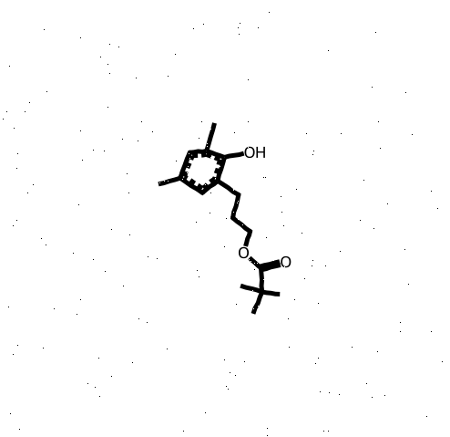 Cc1cc(C)c(O)c(CCCOC(=O)C(C)(C)C)c1